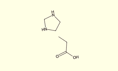 C1CNCN1.CCC(=O)O